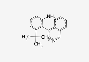 CC(C)(C)c1cccc(N)c1-c1cncc2ccccc12